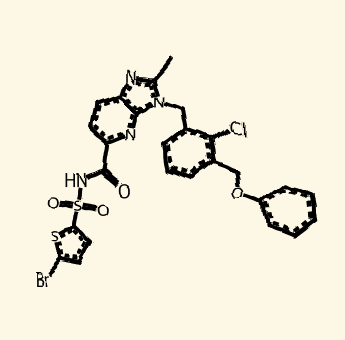 Cc1nc2ccc(C(=O)NS(=O)(=O)c3ccc(Br)s3)nc2n1Cc1cccc(COc2ccccc2)c1Cl